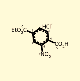 CCOC(=O)c1ccc(C(=O)O)c([N+](=O)[O-])c1.Cl